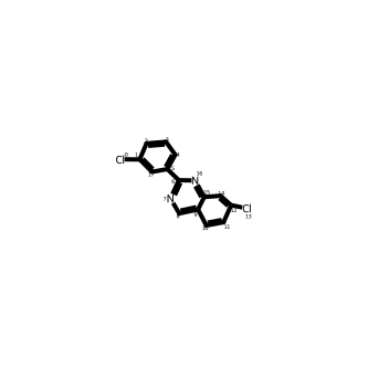 Clc1cccc(-c2ncc3ccc(Cl)cc3n2)c1